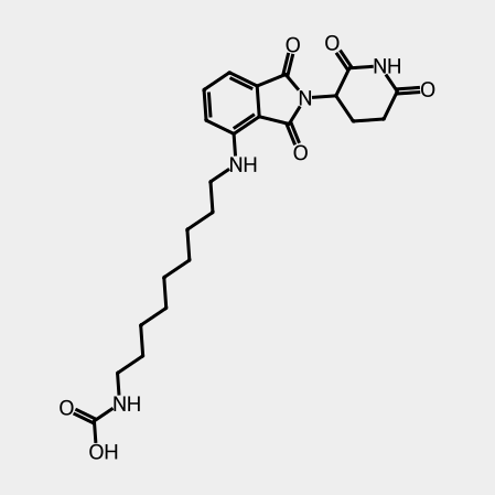 O=C(O)NCCCCCCCCCNc1cccc2c1C(=O)N(C1CCC(=O)NC1=O)C2=O